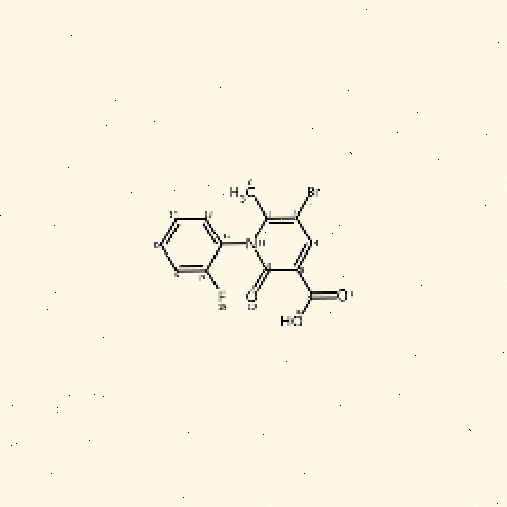 Cc1c(Br)cc(C(=O)O)c(=O)n1-c1ccccc1F